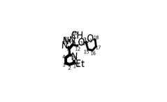 CCc1cccc(-c2nnn(C)c2COC2CCCCO2)n1